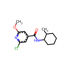 COc1cc(C(=O)NC2CCCCC2C)cc(Cl)n1